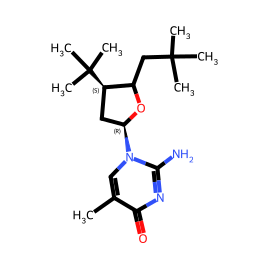 Cc1cn([C@H]2C[C@@H](C(C)(C)C)C(CC(C)(C)C)O2)c(N)nc1=O